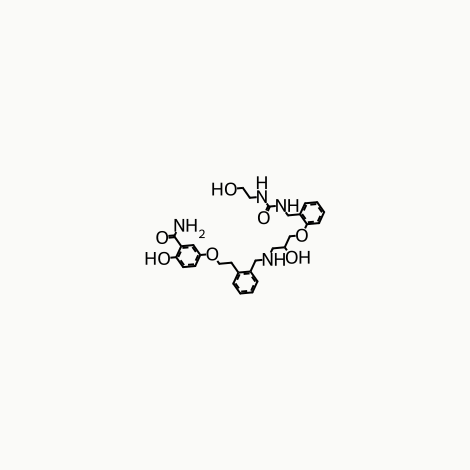 NC(=O)c1cc(OCCc2ccccc2CNCC(O)COc2ccccc2CNC(=O)NCCO)ccc1O